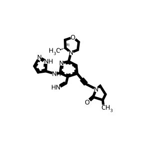 CC1CCN(C#Cc2cc(N3CCOC[C@H]3C)nc(Nc3ccn[nH]3)c2C=N)C1=O